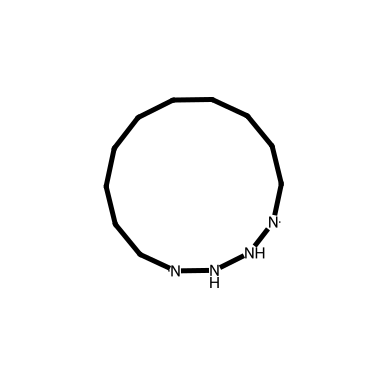 C1CCCCC[N]NN[N]CCCC1